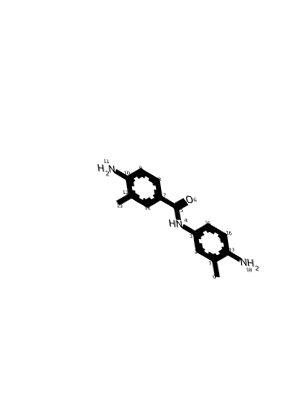 Cc1cc(NC(=O)c2ccc(N)c(C)c2)ccc1N